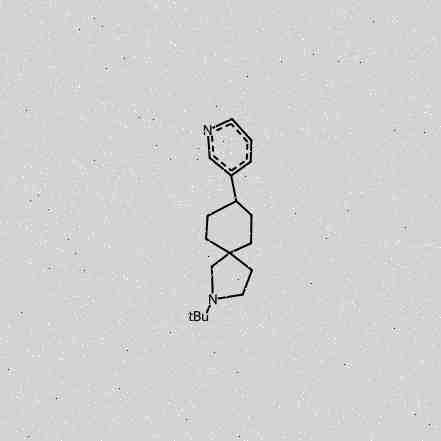 CC(C)(C)N1CCC2(CCC(c3cccnc3)CC2)C1